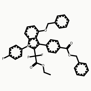 CCOC(=O)C(F)(F)c1c(-c2ccc(C(=O)OCc3ccccc3)cc2)c2c(OCc3ccccc3)cccc2n1-c1ccc(F)cc1